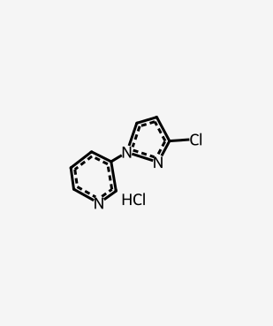 Cl.Clc1ccn(-c2cccnc2)n1